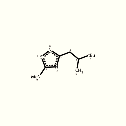 CNc1nc(CC(C)C(C)(C)C)ns1